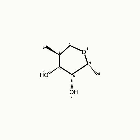 C[C@H]1CO[C@H](C)[C@H](O)[C@@H]1O